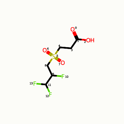 O=C(O)CCS(=O)(=O)CC(F)C(F)F